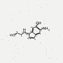 Nc1cc2cnn(NCCO)c2cc1O